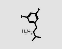 CC(C)[C@H](N)Cc1cc(F)cc(F)c1